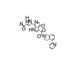 COc1cnc(-c2cc(C(=O)N(C)C)[nH]n2)c2[nH]cc(C(=O)C(=O)N3CCc4c(cccc4-c4ccccn4)C3)c12